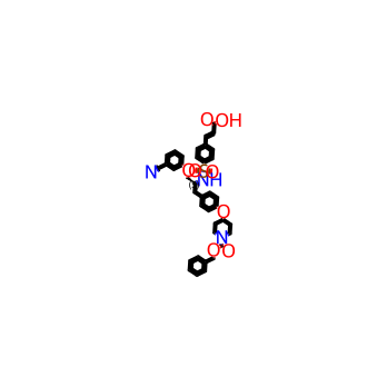 N#Cc1cccc(OC[C@H](Cc2ccc(OC3CCN(C(=O)OCc4ccccc4)CC3)cc2)NS(=O)(=O)c2ccc(C=CC(=O)O)cc2)c1